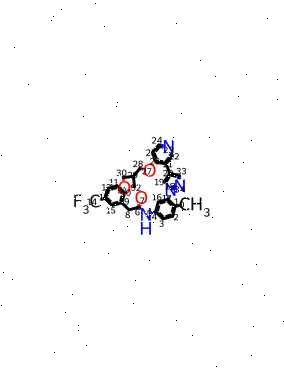 Cc1ccc(NC(=O)Cc2cccc(C(F)(F)F)c2)cc1-n1cc(-c2cnccc2OCC2COC2)cn1